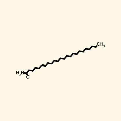 CCCCCCCCCCCCCCCCCC=CCCCCC(N)=O